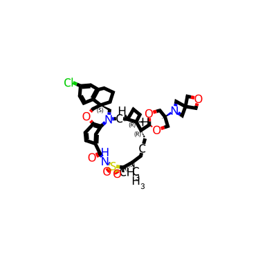 C[C@@H]1[C@@H](C)CCC[C@@H]([C@H]2OC[C@H](N3CC4(COC4)C3)CO2)[C@@H]2CC[C@H]2CN2C[C@@]3(CCCc4cc(Cl)ccc43)COc3ccc(cc32)C(=O)NS1(=O)=O